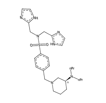 CCCN(CCC)[C@H]1CCCN(Cc2ccc(S(=O)(=O)N(Cc3ncc[nH]3)Cc3ncc[nH]3)cc2)C1